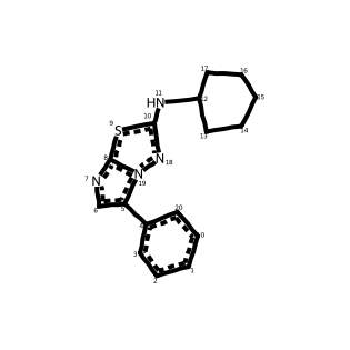 [c]1cccc(-c2cnc3sc(NC4CCCCC4)nn23)c1